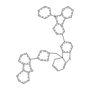 C1=CCC2(Cc3ccc(-c4cccc5c4oc4ccccc45)cc3)C(=C1)Sc1ccc(-c3ccc4c(c3)c3ccccc3n4-c3ccccc3)cc12